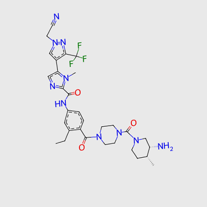 CCc1cc(NC(=O)c2ncc(-c3cn(CC#N)nc3C(F)(F)F)n2C)ccc1C(=O)N1CCN(C(=O)N2CC[C@@H](C)[C@@H](N)C2)CC1